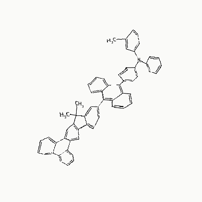 Cc1cccc(N(c2ccccc2)c2ccc(-c3c4ccccc4c(-c4ccc5c(c4)C(C)(C)c4cc6c7ccccc7c7ccccc7c6cc4-5)c4ccccc34)cc2)c1